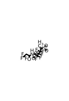 C[C@@H]([SH](=O)=O)C(F)(F)C(F)(F)C(F)(F)S(=O)(=O)NC(=O)CC(F)(F)F